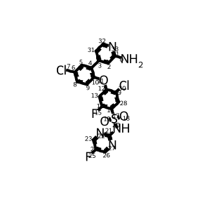 Nc1cc(-c2cc(Cl)ccc2Oc2cc(F)c(S(=O)(=O)Nc3ncc(F)cn3)cc2Cl)ccn1